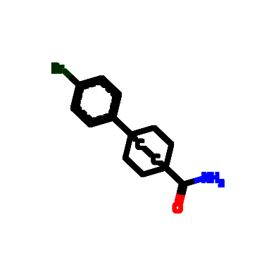 NC(=O)C12CCC(c3ccc(Br)cc3)(CC1)CC2